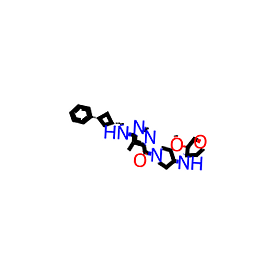 CO[C@H]1COCC[C@H]1NC1CCN(C(=O)c2ncnc(NC[C@H]3C[C@@H](c4ccccc4)C3)c2C)CC1